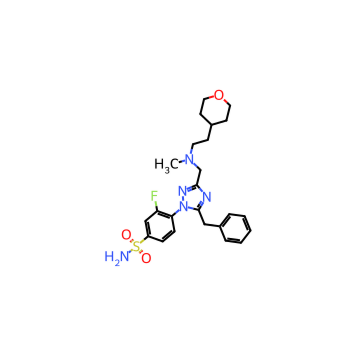 CN(CCC1CCOCC1)Cc1nc(Cc2ccccc2)n(-c2ccc(S(N)(=O)=O)cc2F)n1